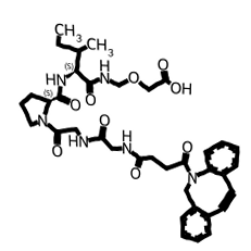 CCC(C)[C@H](NC(=O)[C@@H]1CCCN1C(=O)CNC(=O)CNC(=O)CCC(=O)N1Cc2ccccc2C#Cc2ccccc21)C(=O)NCOCC(=O)O